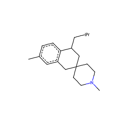 Cc1ccc2c(c1)CC1(CCN(C)CC1)CC2CC(C)C